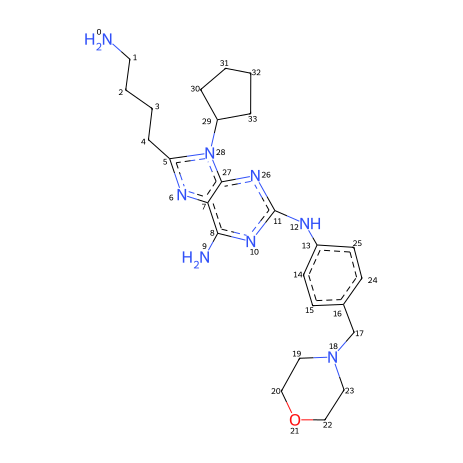 NCCCCc1nc2c(N)nc(Nc3ccc(CN4CCOCC4)cc3)nc2n1C1CCCC1